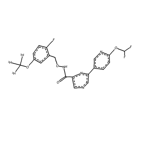 [2H]C([2H])([2H])Oc1ccc(F)c(CONC(=O)c2cncc(-c3ccc(OC(F)F)nc3)n2)c1